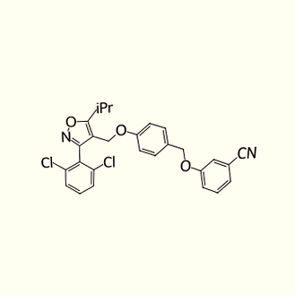 CC(C)c1onc(-c2c(Cl)cccc2Cl)c1COc1ccc(COc2cccc(C#N)c2)cc1